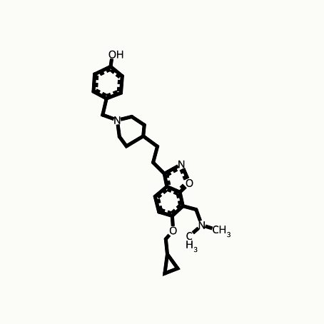 CN(C)Cc1c(OCC2CC2)ccc2c(CCC3CCN(Cc4ccc(O)cc4)CC3)noc12